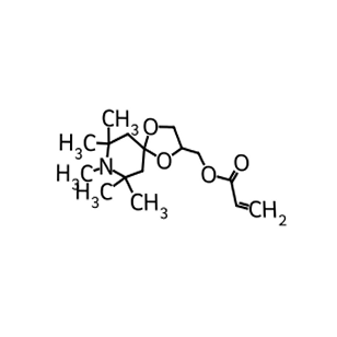 C=CC(=O)OCC1COC2(CC(C)(C)N(C)C(C)(C)C2)O1